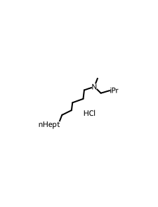 CCCCCCCCCCCCN(C)CC(C)C.Cl